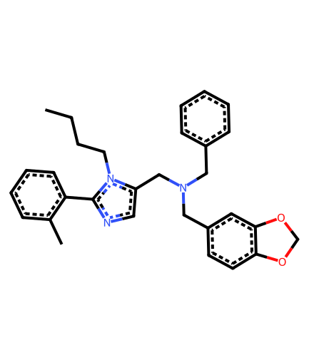 CCCCn1c(CN(Cc2ccccc2)Cc2ccc3c(c2)OCO3)cnc1-c1ccccc1C